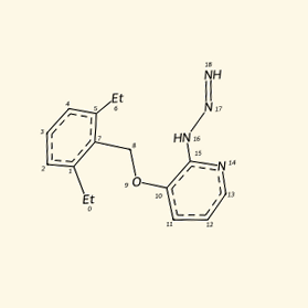 CCc1cccc(CC)c1COc1cccnc1NN=N